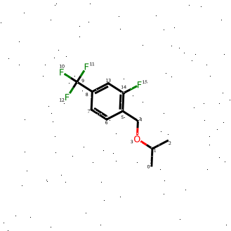 CC(C)OCc1ccc(C(F)(F)F)cc1F